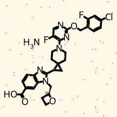 N.O=C(O)c1ccc2nc(C3CC34CCN(c3nc(OCc5ccc(Cl)cc5F)ncc3F)CC4)n(C[C@@H]3CCO3)c2c1